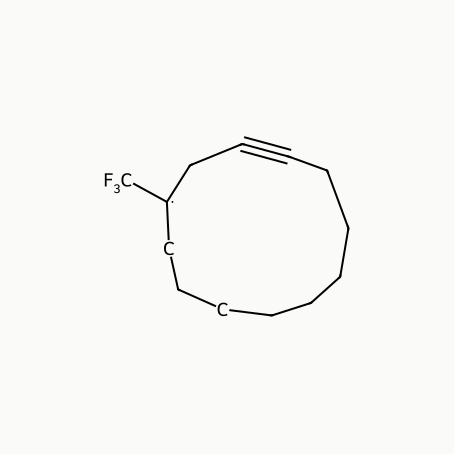 FC(F)(F)[C]1CC#CCCCCCCCC1